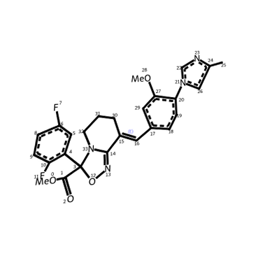 COC(=O)C1(c2cc(F)ccc2F)ON=C2/C(=C/c3ccc(-n4cnc(C)c4)c(OC)c3)CCCN21